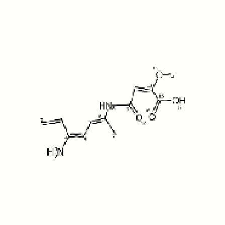 C=C/C(N)=C\C=C(/C)NC(=O)/C=C(/OC)C(=O)O